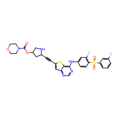 O=C(OC1CNC(C#Cc2cc3ncnc(Nc4ccc(S(=O)(=O)c5cccc(F)c5)c(F)c4)c3s2)C1)N1CCOCC1